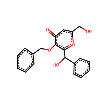 O=c1cc(CO)oc(C(O)c2ccccc2)c1OCc1ccccc1